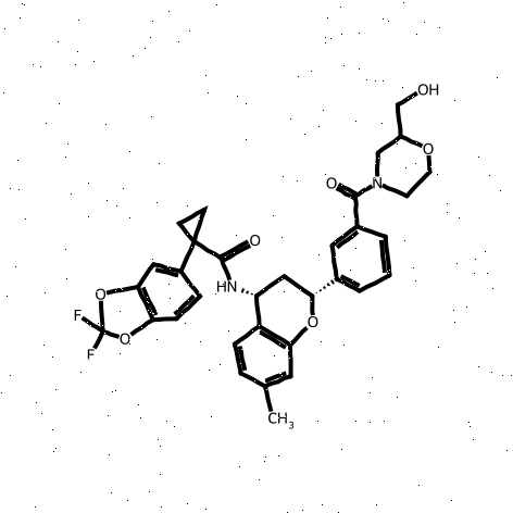 Cc1ccc2c(c1)O[C@@H](c1cccc(C(=O)N3CCOC(CO)C3)c1)C[C@H]2NC(=O)C1(c2ccc3c(c2)OC(F)(F)O3)CC1